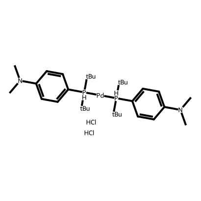 CN(C)c1ccc([PH]([Pd][PH](c2ccc(N(C)C)cc2)(C(C)(C)C)C(C)(C)C)(C(C)(C)C)C(C)(C)C)cc1.Cl.Cl